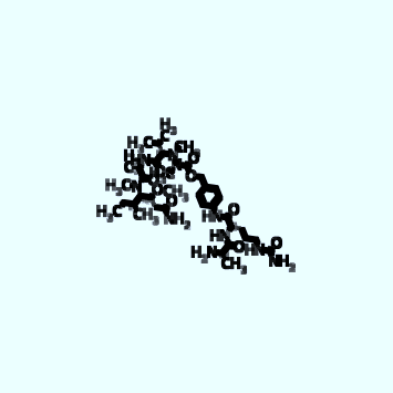 CC[C@H](C)[C@@H]([C@@H](CC(N)=O)OC)N(C)C(=O)[C@H](C)NC(=O)[C@H](C(C)C)N(C)N(C)C(=O)OCc1ccc(NC(=O)[C@H](CCCNC(N)=O)NC(=O)[C@H](C)N)cc1